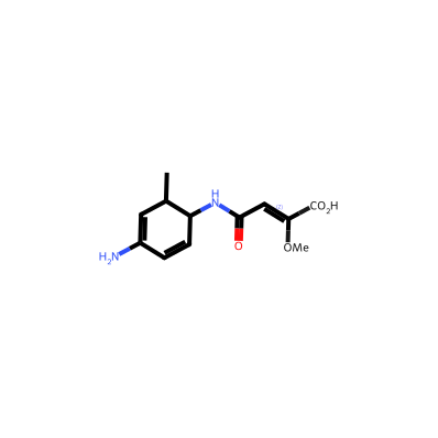 CO/C(=C\C(=O)NC1C=CC(N)=CC1C)C(=O)O